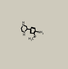 COc1cc(C2CNCCN2)ccc1N